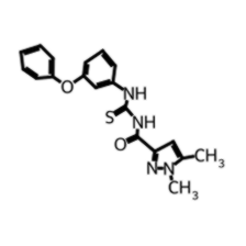 Cc1cc(C(=O)NC(=S)Nc2cccc(Oc3ccccc3)c2)nn1C